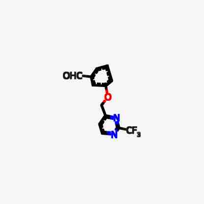 O=Cc1cccc(OCc2ccnc(C(F)(F)F)n2)c1